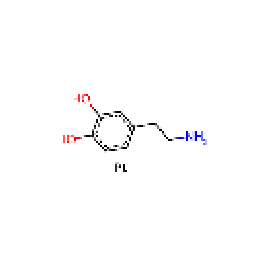 NCCc1ccc(O)c(O)c1.[Pt]